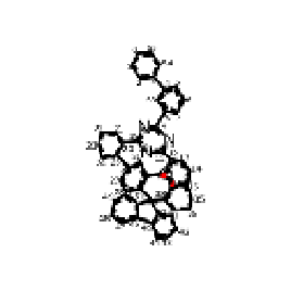 c1ccc(-c2cccc(-c3nc(-c4ccccc4)nc(-c4ccccc4-c4ccc5c(c4)Oc4ccccc4C54c5ccccc5-c5ccccc54)n3)c2)cc1